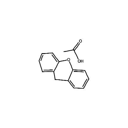 CC(=O)O.c1ccc2c(c1)Cc1ccccc1O2